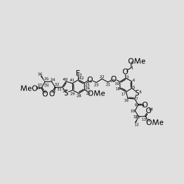 COCOc1cc2sc(C(=O)C[C@H](C)C(=O)OC)cc2cc1OCCCOc1c(OC)cc2sc(C(=O)C[C@H](C)C(=O)OC)cc2c1F